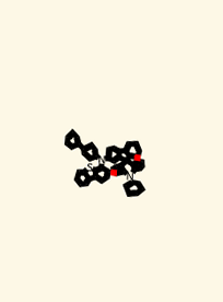 c1ccc(-c2ccc(N(c3ccc4c(c3)C3(c5ccccc5-4)c4ccccc4N(c4ccccc4)c4ccccc43)c3cccc4c3sc3ccccc34)cc2)cc1